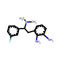 CN(C)C(Cc1cccc(N)c1N)c1cccc(F)c1